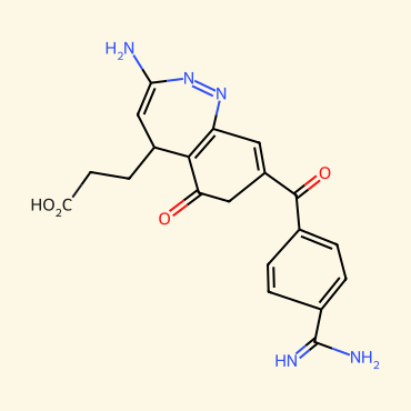 N=C(N)c1ccc(C(=O)C2=CC3=C(C(=O)C2)C(CCC(=O)O)C=C(N)N=N3)cc1